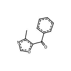 Cc1ncoc1C(=O)c1ccccc1